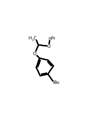 CCCOC(C)Oc1ccc(C(C)CC)cc1